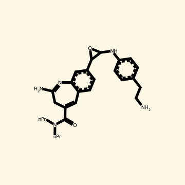 CCCN(CCC)C(=O)C1=Cc2ccc(C3OC3Nc3ccc(CCN)cc3)cc2N=C(N)C1